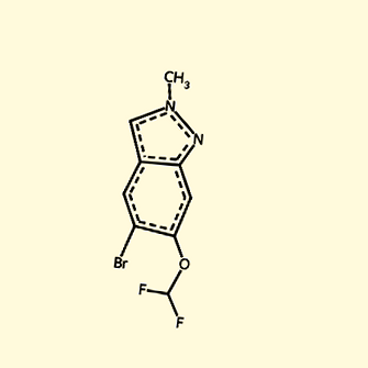 Cn1cc2cc(Br)c(OC(F)F)cc2n1